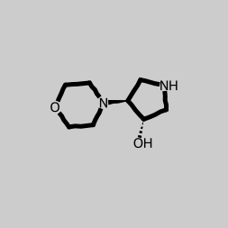 O[C@H]1CNC[C@@H]1N1CCOCC1